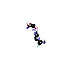 C[C@@]1(C#N)COCc2ccc(C(=O)NCc3cc4nc(-c5cc(F)cc(N6CCC6)c5)ccc4cn3)cc21